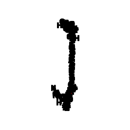 N#Cc1ccc(N[C@H]2CC[C@H](N(C(=O)NCc3ccccc3)c3ccc(-c4ccnc(OCCOCCCCOCCOCCOCCOCCOCCCCNC(=O)COc5cccc6c5C(=O)N(C5CCC(=O)NC5=O)C6=O)c4)cc3)CC2)nc1